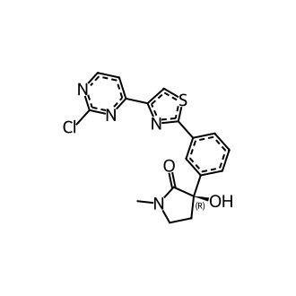 CN1CC[C@@](O)(c2cccc(-c3nc(-c4ccnc(Cl)n4)cs3)c2)C1=O